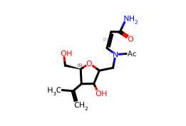 C=C(C)C1C(O)C(CN(/C=C\C(N)=O)C(C)=O)O[C@@H]1CO